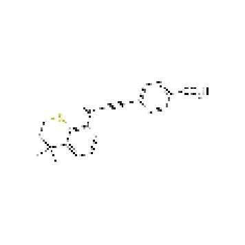 CC1(C)CCSc2c([Se]C#Cc3ccc(C(=O)O)cc3)cccc21